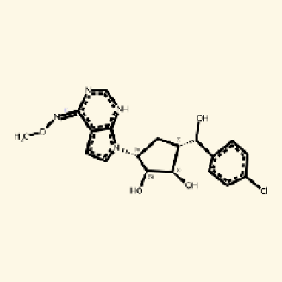 CO/N=c1/nc[nH]c2c1ccn2[C@@H]1C[C@H](C(O)c2ccc(Cl)cc2)[C@@H](O)[C@H]1O